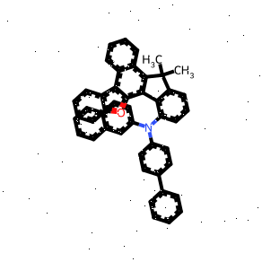 CC1(C)c2cccc(N(c3ccc(-c4ccccc4)cc3)c3ccc4ccccc4c3)c2-c2c1c1ccccc1c1c2oc2ccccc21